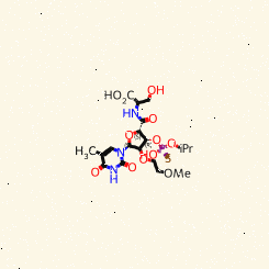 COCCOC1[C@@H](OP(O)(=S)OC(C)C)[C@@H](C(=O)NC(CO)C(=O)O)O[C@@H]1n1cc(C)c(=O)[nH]c1=O